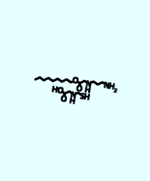 CCCCCCCCCOC(=O)CNCCCN.O=C(O)CNCS